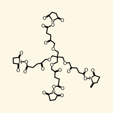 C=C1CCC(=O)N1OC(=O)CCC(=O)COCC(COCC(=O)CCC(=O)ON1C(=O)CCC1=O)(COCC(=O)CCC(=O)ON1C(=O)CCC1=O)COCC(=O)CCC(=O)ON1C(=O)CCC1=O